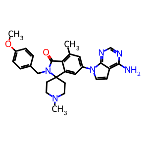 COc1ccc(CN2C(=O)c3c(C)cc(-n4ccc5c(N)ncnc54)cc3C23CCN(C)CC3)cc1